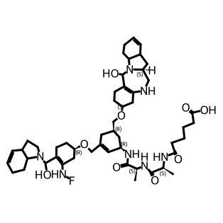 C[C@H](NC(=O)CCCCC(=O)O)C(=O)N[C@@H](C)C(=O)N[C@H]1C=C(CO[C@@H]2CCC(C(O)N3CCC4C=CCCC43)=C(NF)C2)C[C@@H](CO[C@H]2CCC3=C(C2)NC[C@@H]2CC4C=CCCC4N2C3O)C1